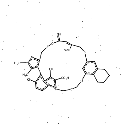 CN/C1=C\C(=N)CSCc2nn(C)c(C)c2-c2c(Cl)ccc3c2c(C)c(C(=O)O)n3CCCOc2cc(cc3c2CCCC3)SC1